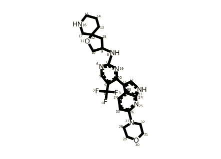 FC(F)(F)c1cnc(NC2COC3(CCCNC3)C2)nc1-c1c[nH]c2nc(N3CCOCC3)ccc12